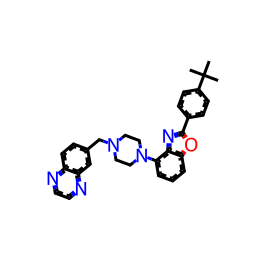 CC(C)(C)c1ccc(-c2nc3c(N4CCN(Cc5ccc6nccnc6c5)CC4)cccc3o2)cc1